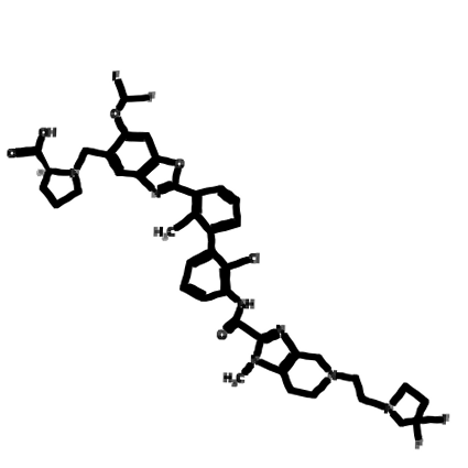 Cc1c(-c2nc3cc(CN4CCC[C@H]4C(=O)O)c(OC(F)F)cc3o2)cccc1-c1cccc(NC(=O)c2nc3c(n2C)CCN(CCN2CCC(F)(F)C2)C3)c1Cl